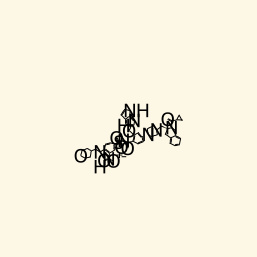 O=C(NS(=O)(=O)c1ccc(NCC2CCOCC2)c([N+](=O)[O-])c1)c1ccc(N2CCN(C[C@@H]3Cc4ccccc4CN3C(=O)C3CC3)CC2)cc1Oc1cnc2[nH]ccc2c1